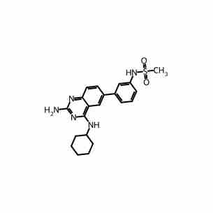 CS(=O)(=O)Nc1cccc(-c2ccc3nc(N)nc(NC4CCCCC4)c3c2)c1